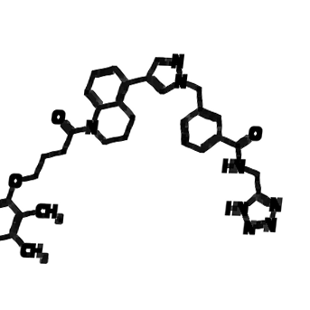 Cc1cccc(OCCCC(=O)N2CCCc3c(-c4cnn(Cc5cccc(C(=O)NCc6nnn[nH]6)c5)c4)cccc32)c1C